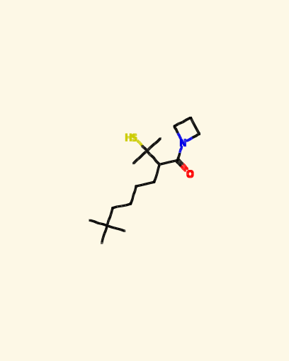 CC(C)(C)CCCCC(C(=O)N1CCC1)C(C)(C)S